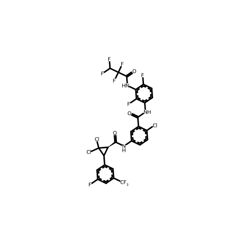 O=C(Nc1ccc(F)c(NC(=O)C(F)(F)C(F)F)c1F)c1cc(NC(=O)[C@H]2C(c3cc(F)cc(C(F)(F)F)c3)C2(Cl)Cl)ccc1Cl